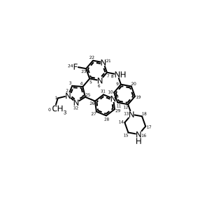 CCn1cc(-c2nc(Nc3ccc(N4CCNCC4)cc3)ncc2F)c(-c2cccnc2)n1